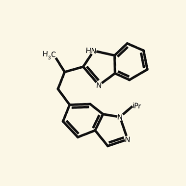 CC(Cc1ccc2cnn(C(C)C)c2c1)c1nc2ccccc2[nH]1